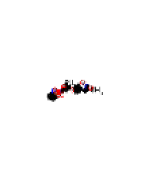 COc1ccc(-c2ccc(OCc3cc(C(=O)NS(=O)(=O)c4ccccc4)oc3C)cc2)[n+]([O-])c1